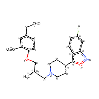 COc1cc(CC=O)ccc1OC[C@H](C)CN1CCC(c2onc3cc(F)ccc23)CC1